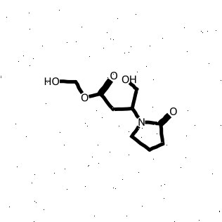 O=C(CC(CO)N1CCCC1=O)OCO